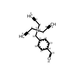 C#CC[N+](CC#C)(CC#C)Cc1ccc(C=O)cc1